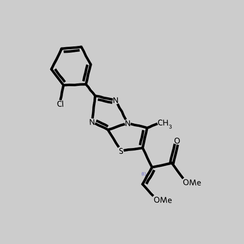 CO/C=C(\C(=O)OC)c1sc2nc(-c3ccccc3Cl)nn2c1C